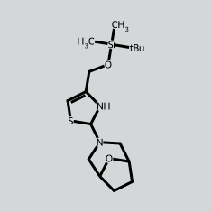 CC(C)(C)[Si](C)(C)OCC1=CSC(N2CC3CCC(C2)O3)N1